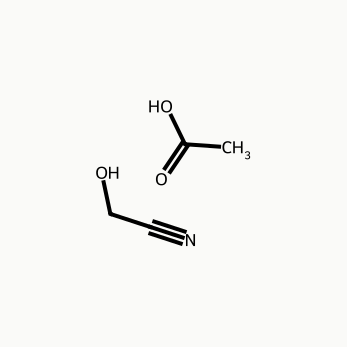 CC(=O)O.N#CCO